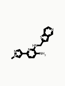 Cn1cc(-c2ccc(N)c(NCc3cc4cnccc4s3)n2)cn1